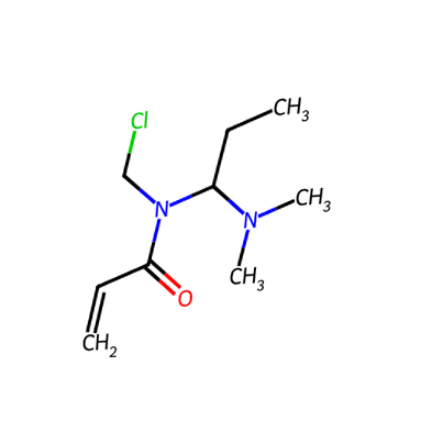 C=CC(=O)N(CCl)C(CC)N(C)C